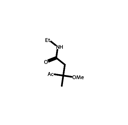 CCNC(=O)CC(C)(OC)C(C)=O